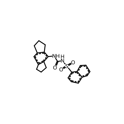 O=C(Nc1c2c(cc3c1CCC3)CCC2)NS(=O)(=O)c1cccc2ccccc12